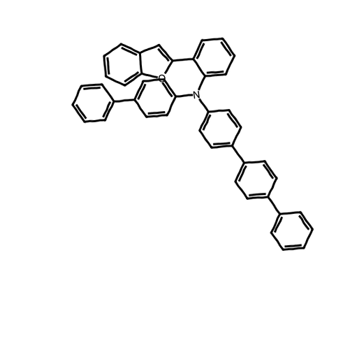 c1ccc(-c2ccc(-c3ccc(N(c4ccc(-c5ccccc5)cc4)c4ccccc4-c4cc5ccccc5o4)cc3)cc2)cc1